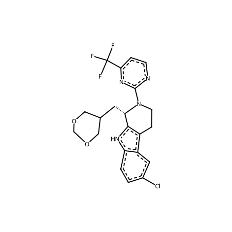 FC(F)(F)c1ccnc(N2CCc3c([nH]c4ccc(Cl)cc34)[C@@H]2CC2COCOC2)n1